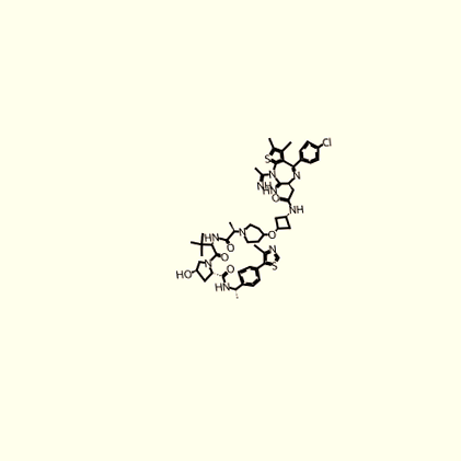 CC(=N)N1C(=N)[C@H](CC(=O)N[C@H]2C[C@H](OC3CCN([C@H](C)C(=O)N[C@H](C(=O)N4C[C@H](O)C[C@H]4C(=O)N[C@@H](C)c4ccc(-c5scnc5C)cc4)C(C)(C)C)CC3)C2)N=C(c2ccc(Cl)cc2)c2c1sc(C)c2C